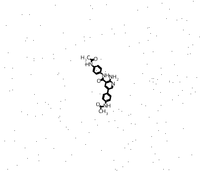 CC(=O)Nc1ccc(NC(=O)c2cc(-c3ccc(NC(C)=O)cc3)cnc2N)cc1